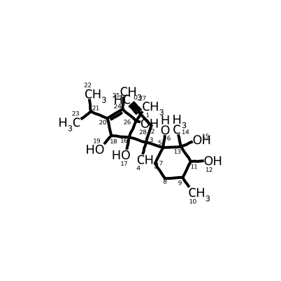 C#CCC(C)(C1(O)CCC(C)C(O)C1(C)O)C1(O)C(O)C(C(C)C)=C(C)C1(C)O